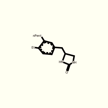 CCCCCc1cc(CC2CNC(=O)N2)ccc1CC